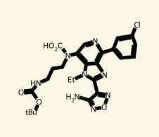 CCn1c(-c2nonc2N)nc2c(-c3cccc(Cl)c3)ncc(N(CCCNC(=O)OC(C)(C)C)C(=O)O)c21